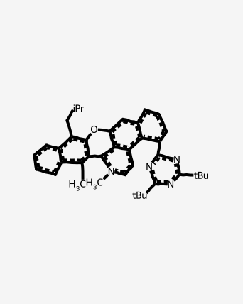 Cc1c2c(c(CC(C)C)c3ccccc13)Oc1cc3cccc(-c4nc(C(C)(C)C)nc(C(C)(C)C)n4)c3c3cc[n+](C)c-2c13